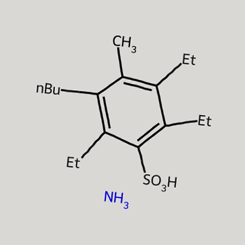 CCCCc1c(C)c(CC)c(CC)c(S(=O)(=O)O)c1CC.N